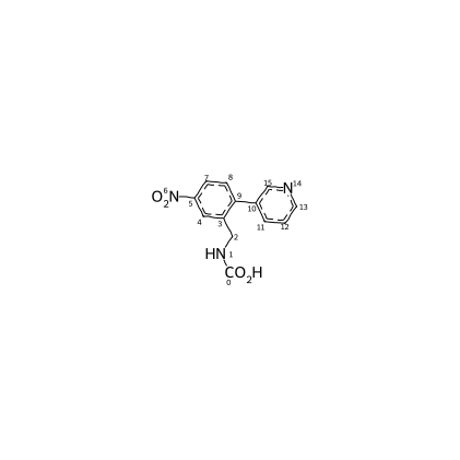 O=C(O)NCc1cc([N+](=O)[O-])ccc1-c1cccnc1